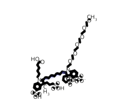 COCCOCCOCCOCCOCCOCCN1/C(=C/C=C/C=C/C=C/C2=[N+](CCCCCC(=O)O)c3ccc(S(=O)(=O)O)cc3C2(C)CCCS(=O)(=O)O)C(C)(CCCS(=O)(=O)O)c2cc(S(=O)(=O)[O-])ccc21